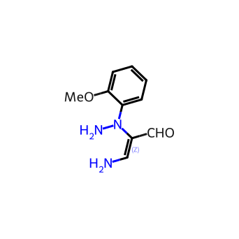 COc1ccccc1N(N)/C(C=O)=C\N